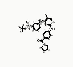 Cc1cnc(Nc2ccc(C(=O)N3CCCC3)cc2)nc1Nc1cccc([S+]([O-])NC(C)(C)C)c1